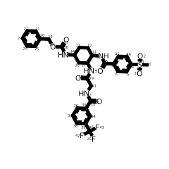 CS(=O)(=O)c1ccc(C(=O)NC2CCC(NC(=O)OCc3ccccc3)CC2NC(=O)CNC(=O)c2cccc(C(F)(F)F)c2)cc1